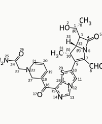 C[C@@H](O)C1C(=O)N2C(C=O)=C(c3cn4cnc(C(=O)C5=CC=CN(CC(N)=O)C5)c4s3)[C@H](C)[C@H]12